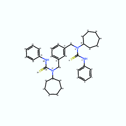 S=C(Nc1ccccc1)N(Cc1cccc(CN(C(=S)Nc2ccccc2)C2CCCCCC2)c1)C1CCCCCC1